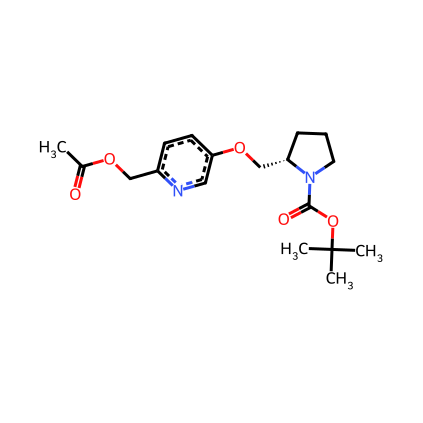 CC(=O)OCc1ccc(OC[C@@H]2CCCN2C(=O)OC(C)(C)C)cn1